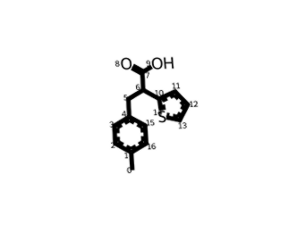 Cc1ccc(CC(C(=O)O)c2cccs2)cc1